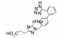 CCCCCCc1nc(CCC(=O)O)nn1Cc1ccc(-c2ccccc2-c2nnn[nH]2)cc1